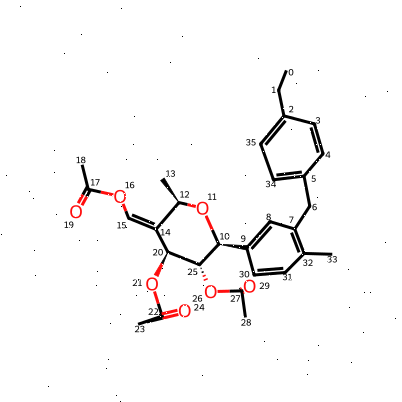 CCc1ccc(Cc2cc([C@@H]3O[C@H](C)/C(=C\OC(C)=O)[C@H](OC(C)=O)[C@H]3OC(C)=O)ccc2C)cc1